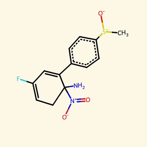 C[S+]([O-])c1ccc(C2=CC(F)=CCC2(N)[N+](=O)[O-])cc1